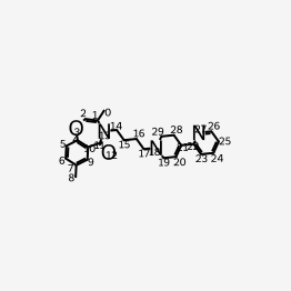 CC1=COc2ccc(C)cc2C(=O)N1CCCCN1CC=C(c2ccccn2)CC1